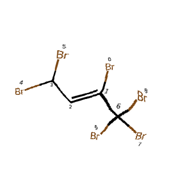 BrC(=CC(Br)Br)C(Br)(Br)Br